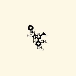 Cc1ccc(C2=CC(C3CC3)=NC3C(N=Nc4ccccc4)C(O)NN23)c(C)c1